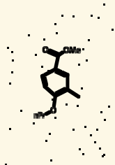 CCCOc1ccc(C(=O)OC)cc1C